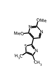 COc1ncc(-c2nc(C)c(C)s2)c(OC)n1